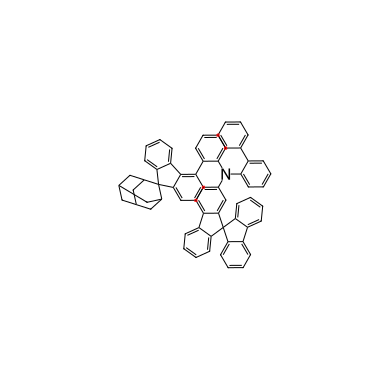 c1ccc(-c2ccccc2N(c2ccc3c(c2)C2(c4ccccc4-c4ccccc42)c2ccccc2-3)c2ccccc2-c2cccc3c2-c2ccccc2C32C3CC4CC(C3)CC2C4)cc1